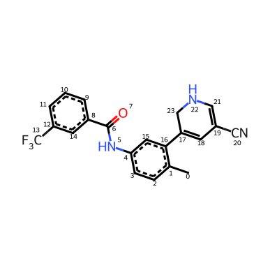 Cc1ccc(NC(=O)c2cccc(C(F)(F)F)c2)cc1C1=CC(C#N)=CNC1